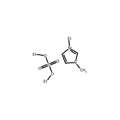 CCOS(=O)(=O)OCC.CC[n+]1ccn(C)c1